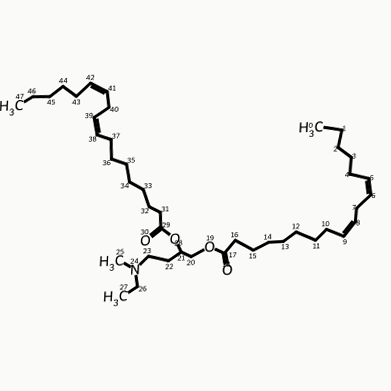 CCCCC/C=C\C/C=C\CCCCCCCC(=O)OCC(CCN(C)CC)OC(=O)CCCCCCC/C=C\C/C=C\CCCCC